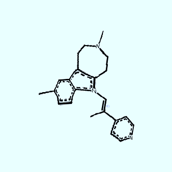 C/C(=C\n1c2c(c3cc(C)ccc31)CCN(C)CC2)c1ccncc1